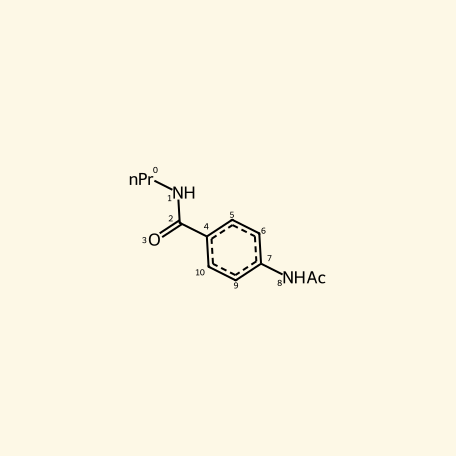 CCCNC(=O)c1ccc(NC(C)=O)cc1